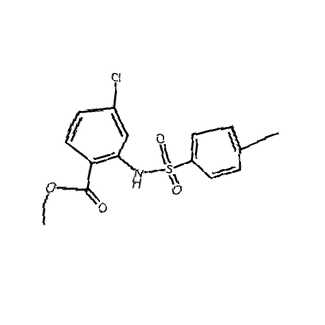 COC(=O)c1ccc(Cl)cc1NS(=O)(=O)c1ccc(C)cc1